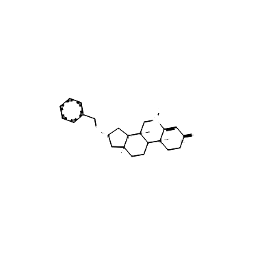 CN1C[C@H]2[C@@H]3C[C@H](OCc4ccccc4)C[C@@]3(C)CC[C@@H]2[C@@]2(C)CCC(=O)C=C12